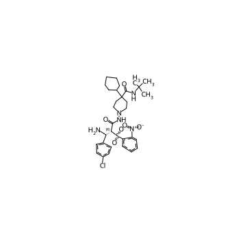 CC(C)(C)NC(=O)C1(C2CCCCC2)CCN(NC(=O)[C@@H](C(N)c2ccc(Cl)cc2)S(=O)(=O)c2ccccc2[N+](=O)[O-])CC1